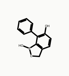 OB1OCc2ccc(O)c(-c3ccccc3)c21